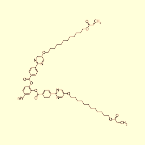 C=CC(=O)OCCCCCCCCCCCCOc1cnc(-c2ccc(C(=O)Oc3ccc(CCC)cc3OC(=O)c3ccc(-c4ncc(OCCCCCCCCCCCCOC(=O)C=C)cn4)cc3)cc2)nc1